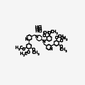 COc1cc(-c2cc(CN3CCC(N(Cc4ccnc(-c5cc(OC)c(OC)c(OC)c5)c4)c4cccc(OC)c4OC)CC3)ccn2)cc(OC)c1OC.Cl.Cl.Cl